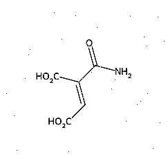 NC(=O)/C(=C/C(=O)O)C(=O)O